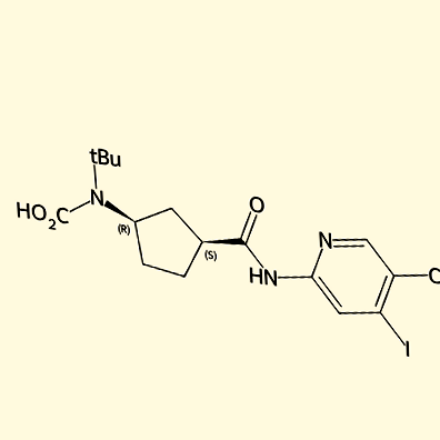 CC(C)(C)N(C(=O)O)[C@@H]1CC[C@H](C(=O)Nc2cc(I)c(Cl)cn2)C1